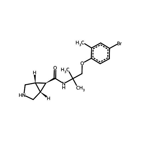 Cc1cc(Br)ccc1OCC(C)(C)NC(=O)[C@H]1[C@@H]2CNC[C@@H]21